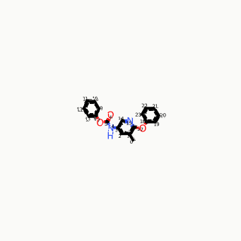 Cc1cc(NC(=O)Oc2ccccc2)cnc1Oc1ccccc1